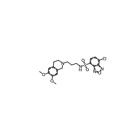 COc1cc2c(cc1OC)CN(CCCNS(=O)(=O)c1ccc(Cl)c3nonc13)CC2